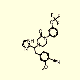 COc1cc(CC(c2ncc[nH]2)N2CCN(c3cccc(OC(F)(F)F)c3)C(=O)C2)ccc1C#N